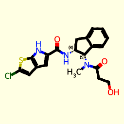 CN(C(=O)CCO)[C@H]1c2ccccc2C[C@H]1NC(=O)c1cc2cc(Cl)sc2[nH]1